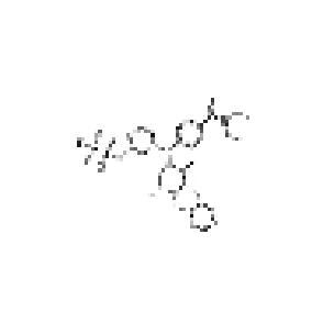 CCN(CC)C(=O)c1ccc([C@H](c2cccc(OS(=O)(=O)C(F)(F)F)c2)N2C[C@@H](C)N(Cc3ccccc3F)C[C@@H]2C)cc1